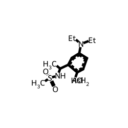 CCN(CC)c1ccc([AsH2])c(C(C)NS(C)(=O)=O)c1.Cl